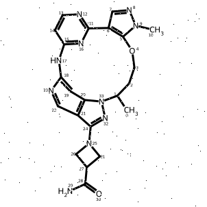 CC1CCOc2c(cnn2C)-c2nccc(n2)Nc2cc3c(cn2)c(N2CC(C(N)=O)C2)nn31